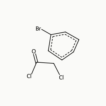 Brc1ccccc1.O=C(Cl)CCl